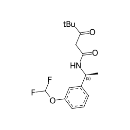 C[C@H](NC(=O)CC(=O)C(C)(C)C)c1cccc(OC(F)F)c1